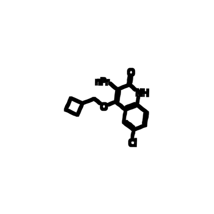 CCCc1c(OCC2CCC2)c2cc(Cl)ccc2[nH]c1=O